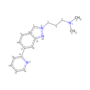 CN(C)CCCn1cc2ccc(-c3ccccn3)cc2n1